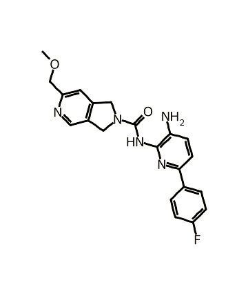 COCc1cc2c(cn1)CN(C(=O)Nc1nc(-c3ccc(F)cc3)ccc1N)C2